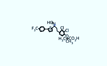 CC(C)(Oc1ccc(CC/C(=N/O)c2ccc(-c3ccc(C(F)(F)F)cc3)s2)c(Cl)c1Cl)C(=O)O